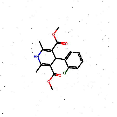 COC(=O)C1=C(C)NC(C)=C(C(=O)OC)C1c1ccccc1Cl